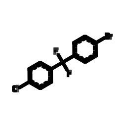 FC(F)(c1ccc(Cl)cc1)c1ccc(Br)cc1